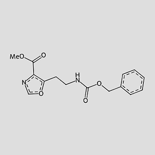 COC(=O)c1ncoc1CCNC(=O)OCc1ccccc1